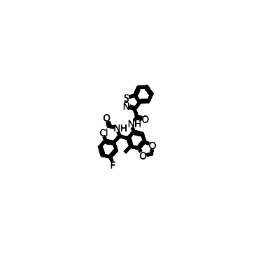 Cc1c2c(cc(NC(=O)c3nsc4ccccc34)c1C(NC=O)c1cc(F)ccc1Cl)OCO2